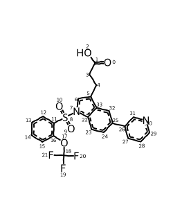 O=C(O)CCc1cn(S(=O)(=O)c2ccccc2OC(F)(F)F)c2ccc(-c3cccnc3)cc12